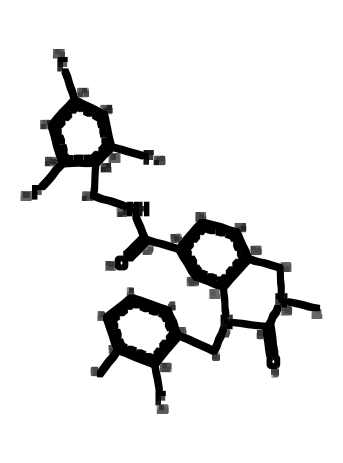 Cc1cccc(CN2C(=O)N(C)Cc3ccc(C(=O)NCc4c(F)cc(F)cc4F)cc32)c1F